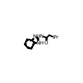 CC(C)CC(=O)Nc1nc2ccccc2[nH]1